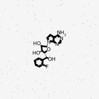 Nc1ncnc2c1ccn2[C@@H]1O[C@H](C(O)c2ccccc2F)[C@@H](O)[C@H]1O